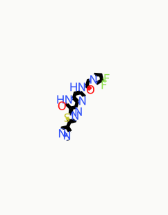 Cn1cc(-c2cn3nc4c5ncc(NC(=O)CN6CCC(F)(F)C6)cc5[nH]c(=O)c4c3s2)cn1